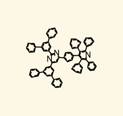 c1ccc(-c2cc(-c3ccccc3)cc(-c3cc(-c4ccc(-c5c(-c6ccccc6)c(-c6ccccc6)nc(-c6ccccc6)c5-c5ccccc5)cc4)nc(-c4cc(-c5ccccc5)cc(-c5ccccc5)c4)n3)c2)cc1